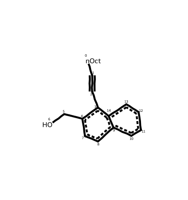 CCCCCCCCC#Cc1c(CO)ccc2ccccc12